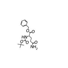 CC(C)(C)OC(=O)NC(CCC(N)=O)C(=O)OCc1ccccc1